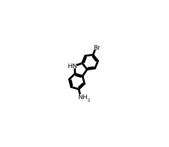 Nc1ccc2[nH]c3cc(Br)ccc3c2c1